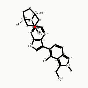 Cn1nc2ccc(-c3c[nH]c4nc(N5[C@@H]6CC[C@H]5C[C@@H](N)C6)cnc34)c(Cl)c2c1CO